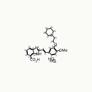 COc1ccc(C=Cc2nc3cccc(C(=O)O)c3[nH]2)cc1OCCN1CCCCC1.Cl.Cl